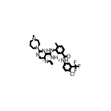 C=C/N=C1/C=NC(N2CCCN(C)CC2)=N/C1=C(/N)Nc1cc(C(=O)Nc2ccc(Cl)c(C(F)(F)F)c2)ccc1C